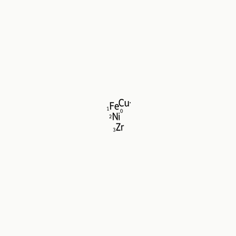 [Cu].[Fe].[Ni].[Zr]